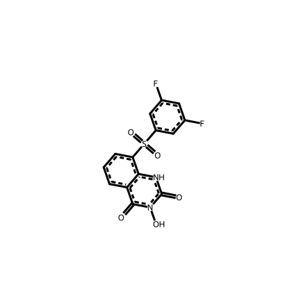 O=c1[nH]c2c(S(=O)(=O)c3cc(F)cc(F)c3)cccc2c(=O)n1O